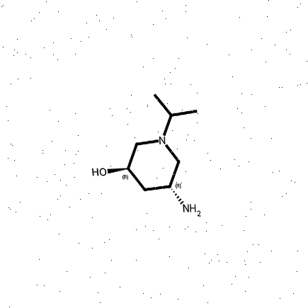 CC(C)N1C[C@H](N)C[C@@H](O)C1